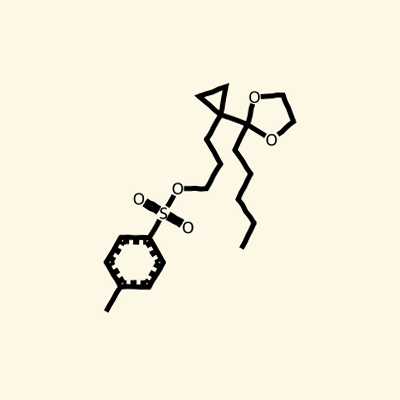 CCCCCC1(C2(CCCOS(=O)(=O)c3ccc(C)cc3)CC2)OCCO1